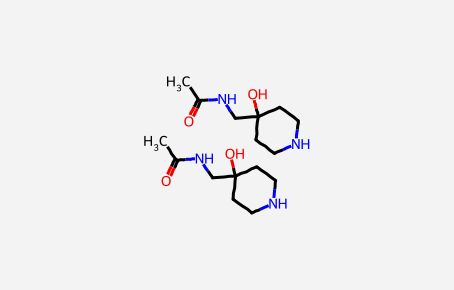 CC(=O)NCC1(O)CCNCC1.CC(=O)NCC1(O)CCNCC1